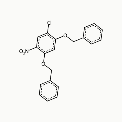 O=[N+]([O-])c1cc(Cl)c(OCc2ccccc2)cc1OCc1ccccc1